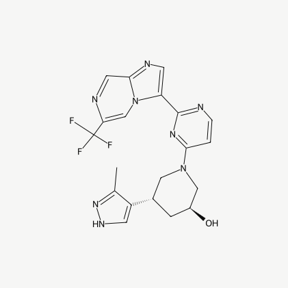 Cc1n[nH]cc1[C@H]1C[C@H](O)CN(c2ccnc(-c3cnc4cnc(C(F)(F)F)cn34)n2)C1